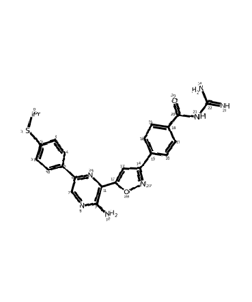 CC(C)Sc1ccc(-c2cnc(N)c(-c3cc(-c4ccc(C(=O)NC(=N)N)cc4)no3)n2)cc1